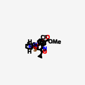 COC(=O)c1ccc(-c2csc(N3[C@@H]4CC[C@H]3C[C@H](OCc3c(-c5ccccc5OC(F)(F)F)noc3C3CC3)C4)n2)cc1C(F)(F)F